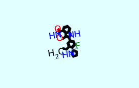 C=CCc1cc(-c2[nH]c3cccc4c3c2CONC4=O)cc(F)c1[C@H]1CCCN1